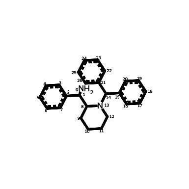 NC(c1ccccc1)C1CCCCN1C(c1ccccc1)c1ccccc1